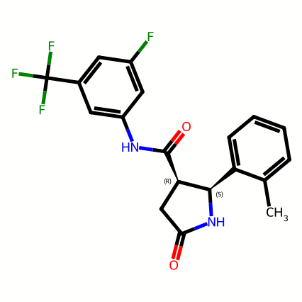 Cc1ccccc1[C@H]1NC(=O)C[C@H]1C(=O)Nc1cc(F)cc(C(F)(F)F)c1